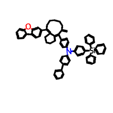 C=C1CCCCC/C(c2ccc3c(c2)oc2ccccc23)=C2/CCCC/C2=C/1c1ccc(N(c2ccc(-c3ccccc3)cc2)c2ccc([Si](c3ccccc3)(c3ccccc3)c3ccccc3)cc2)cc1